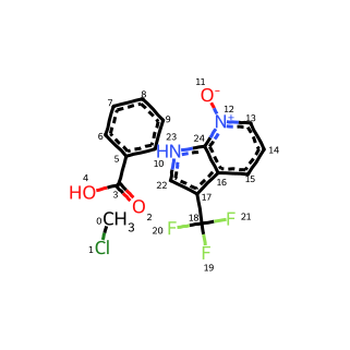 CCl.O=C(O)c1ccccc1.[O-][n+]1cccc2c(C(F)(F)F)c[nH]c21